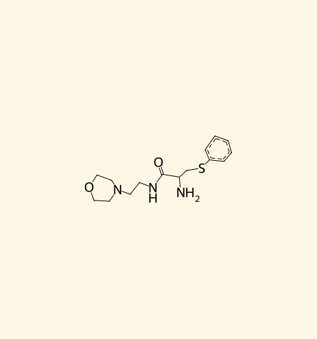 NC(CSc1ccccc1)C(=O)NCCN1CCOCC1